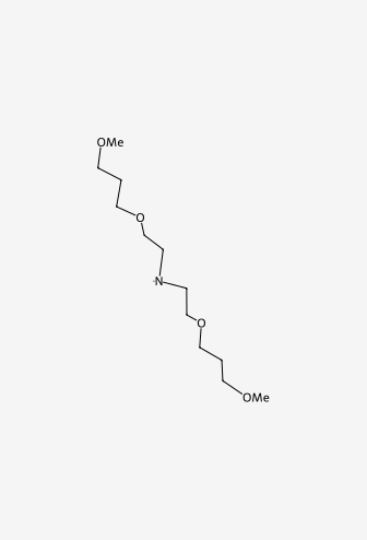 COCCCOCC[N]CCOCCCOC